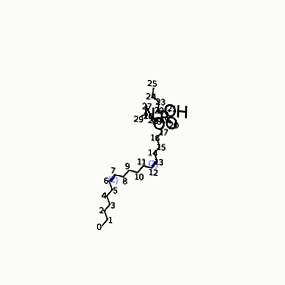 CCCCCC/C=C\CCCC/C=C\CCCCOP(=O)(O)C(CCC)[N+](C)(C)C